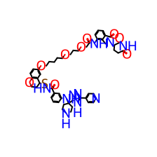 O=C1CCC(N2Cc3c(NC(=O)COCCCOCCCCCOc4ccc5c(c4)[C@@H](SNC(=O)c4cccc(NC6(c7nnc(-c8ccncc8)[nH]7)CCNCC6)c4)CCO5)cccc3C2=O)C(=O)N1